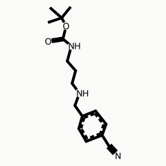 CC(C)(C)OC(=O)NCCCNCc1ccc(C#N)cc1